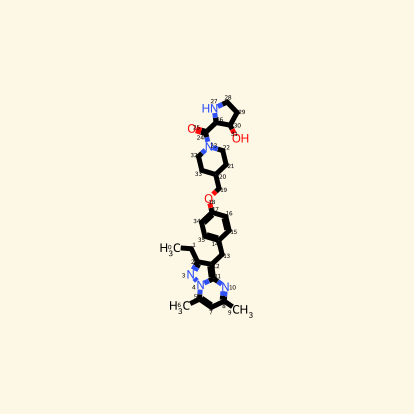 CCc1nn2c(C)cc(C)nc2c1Cc1ccc(OCC2CCN(C(=O)C3NCCC3O)CC2)cc1